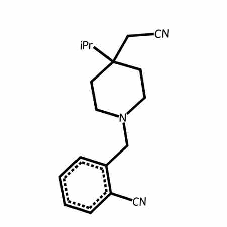 CC(C)C1(CC#N)CCN(Cc2ccccc2C#N)CC1